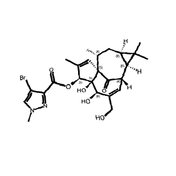 CC1=C[C@]23C(=O)[C@@H](C=C(CO)[C@@H](O)[C@]2(O)[C@H]1OC(=O)c1nn(C)cc1Br)[C@H]1[C@@H](C[C@H]3C)C1(C)C